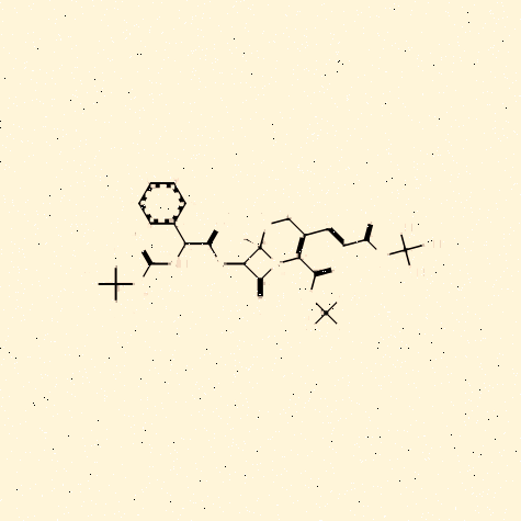 CC(C)(C)OC(=O)C=CC1=C(C(=O)OC(C)(C)C)N2C(=O)C(NC(=O)C(NC(=O)OC(C)(C)C)c3ccccc3)[C@@H]2SC1